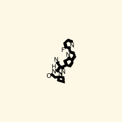 N#Cc1c(-c2ccc3ccc(-c4ncccc4F)nc3c2)nn2c1NC(=O)CC21CCC1